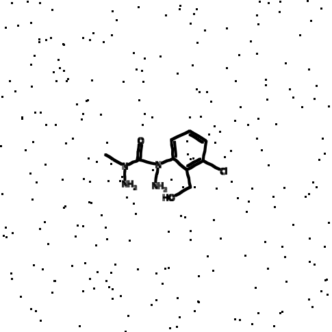 CN(N)C(=O)N(N)c1cccc(Cl)c1CO